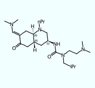 CCCN1C[C@@H](NC(=O)N(CCN(C)C)CC(C)C)C[C@@H]2CC(=O)C(=CN(C)C)C[C@H]21